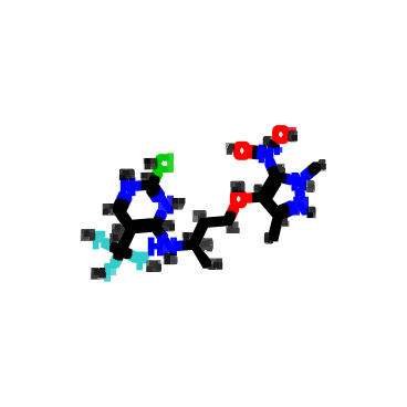 Cc1nn(C)c([N+](=O)[O-])c1OCC[C@@H](C)Nc1nc(Cl)ncc1C(F)(F)F